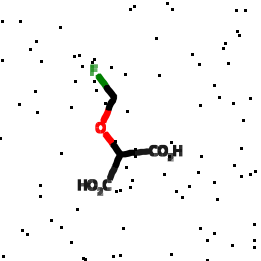 O=C(O)C(OCF)C(=O)O